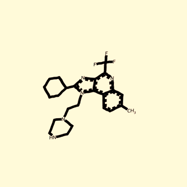 Cc1ccc2c(c1)nc(C(F)(F)F)c1nc(C3CCCCC3)n(CCN3CCNCC3)c12